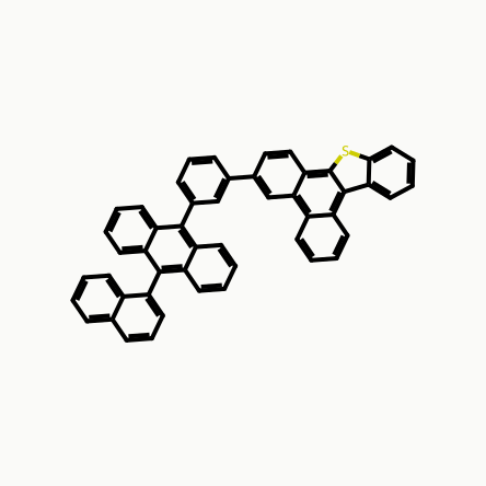 c1cc(-c2ccc3c(c2)c2ccccc2c2c4ccccc4sc32)cc(-c2c3ccccc3c(-c3cccc4ccccc34)c3ccccc23)c1